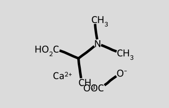 CC(C(=O)O)N(C)C.O=C([O-])[O-].[Ca+2]